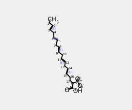 CC/C=C/C/C=C/C/C=C/C/C=C/C/C=C/CCC(C(=O)O)[N+](=O)[O-]